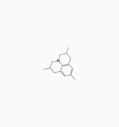 Cc1cc2c3c(c1)CC(C)CN3CC(C)C2